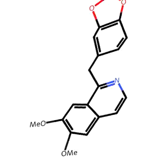 COc1cc2ccnc(Cc3ccc4c(c3)OCO4)c2cc1OC